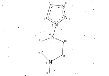 CN1CCN(n2ccnn2)CC1